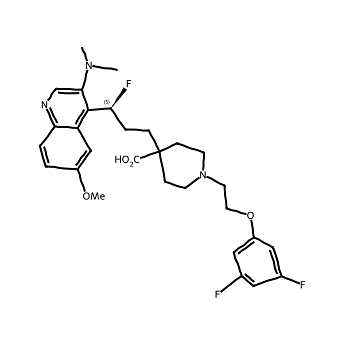 COc1ccc2ncc(N(C)C)c([C@@H](F)CCC3(C(=O)O)CCN(CCOc4cc(F)cc(F)c4)CC3)c2c1